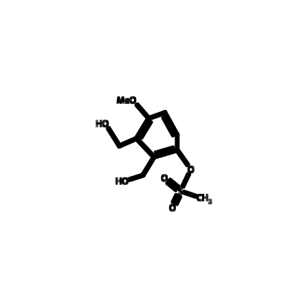 COc1ccc(OS(C)(=O)=O)c(CO)c1CO